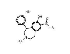 Br.CN1CCc2cc([S+](C)[O-])c(O)cc2C(c2ccccc2)C1